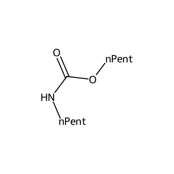 CCCCCNC(=O)OCCCCC